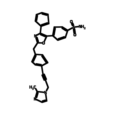 Cc1nccn1CC#Cc1ccc(Cc2nc(-c3ccccc3)c(-c3ccc(S(N)(=O)=O)cc3)o2)cc1